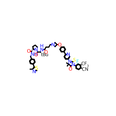 Cc1ncsc1-c1ccc(CNC(=O)[C@@H]2CCCN2C(=O)C(NC(=O)CCCN2CC(Oc3ccc(-c4ccc(N5C(=S)N(c6ccc(C#N)c(C(F)(F)F)c6F)C(=O)C5(C)C)cn4)cc3)C2)C(C)(C)C)cc1